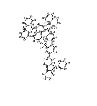 CC1(C)c2cc(-c3ccc4c5ccccc5n(-c5ccccc5)c4c3)ccc2-c2ccc(N(c3cccc4ccccc34)c3ccc(-n4c5ccccc5c5ccccc54)c4ccccc34)cc21